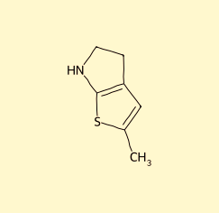 Cc1cc2c(s1)NCC2